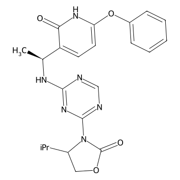 CC(C)C1COC(=O)N1c1ncnc(N[C@@H](C)c2ccc(Oc3ccccc3)[nH]c2=O)n1